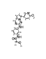 COc1ccc(-c2ccc3cnc(Nc4cccc(NC(=O)[C@@H](C)OC)c4)nn23)cn1